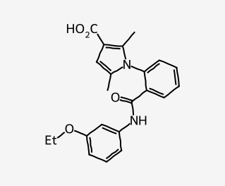 CCOc1cccc(NC(=O)c2ccccc2-n2c(C)cc(C(=O)O)c2C)c1